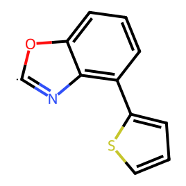 [c]1nc2c(-c3cccs3)cccc2o1